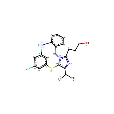 CC(C)c1nc(CCCO)n(Cc2ccccc2N)c1Sc1cc(F)cc(F)c1